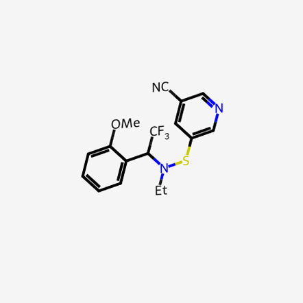 CCN(Sc1cncc(C#N)c1)C(c1ccccc1OC)C(F)(F)F